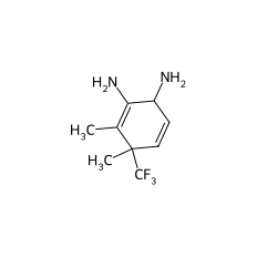 CC1=C(N)C(N)C=CC1(C)C(F)(F)F